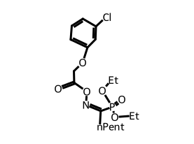 CCCCCC(=NOC(=O)COc1cccc(Cl)c1)P(=O)(OCC)OCC